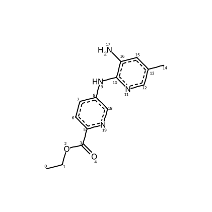 CCOC(=O)c1ccc(Nc2ncc(C)cc2N)cn1